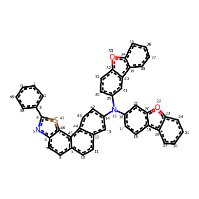 c1ccc(-c2nc3ccc4ccc5cc(N(c6ccc7c(c6)oc6ccccc67)c6ccc7oc8ccccc8c7c6)ccc5c4c3s2)cc1